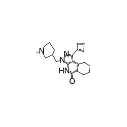 CN1CCCC(Cn2nc(C3=CC=C3)c3c4c(c(=O)[nH]c32)CCCC4)C1